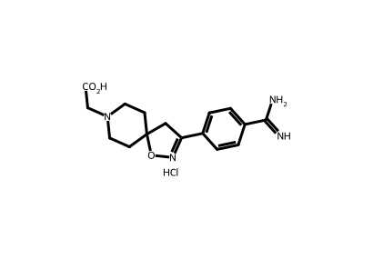 Cl.N=C(N)c1ccc(C2=NOC3(CCN(CC(=O)O)CC3)C2)cc1